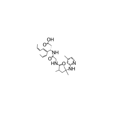 C\C=C/C=C(\C=C/C)[C@H](CC(=O)O)NC(=O)CNC(=O)C(C)CC(C)(C)Nc1cc(C)ccn1